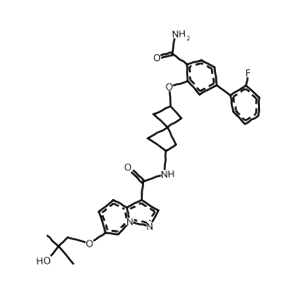 CC(C)(O)COc1ccc2c(C(=O)NC3CC4(C3)CC(Oc3cc(-c5ccccc5F)ccc3C(N)=O)C4)cnn2c1